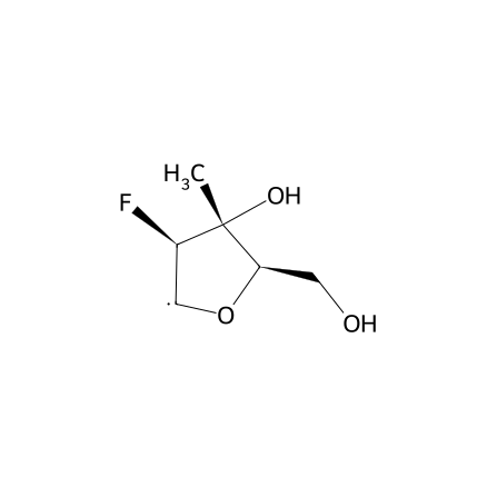 C[C@]1(O)[C@H](F)[CH]O[C@@H]1CO